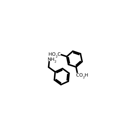 NCc1ccccc1.O=C(O)c1cccc(C(=O)O)c1